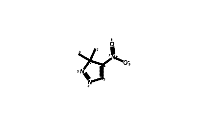 CC1(C)N=N[C]=C1[N+](=O)[O-]